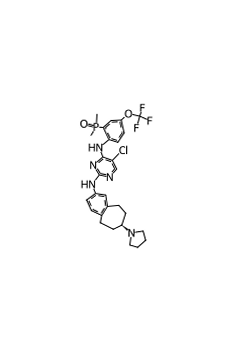 CP(C)(=O)c1cc(OC(F)(F)F)ccc1Nc1nc(Nc2ccc3c(c2)CC[C@@H](N2CCCC2)CC3)ncc1Cl